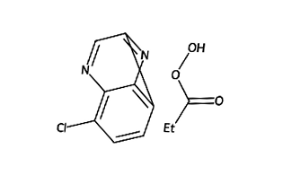 CCC(=O)OO.Clc1ccc2c3nc-2cnc13